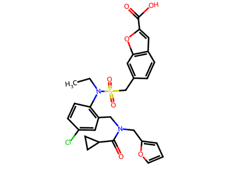 CCN(c1ccc(Cl)cc1CN(Cc1ccco1)C(=O)C1CC1)S(=O)(=O)Cc1ccc2cc(C(=O)O)oc2c1